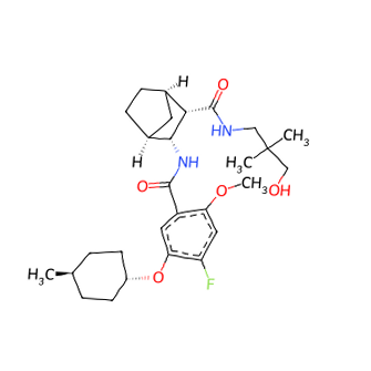 COc1cc(F)c(O[C@H]2CC[C@H](C)CC2)cc1C(=O)N[C@@H]1[C@H]2CC[C@H](C2)[C@@H]1C(=O)NCC(C)(C)CO